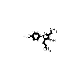 CCCc1c(O)c(CC)nn1-c1ccc(C)cc1